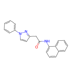 O=C(Cc1ccn(-c2ccccc2)n1)Nc1cccc2ccccc12